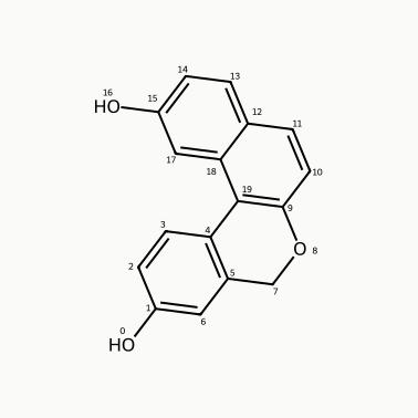 Oc1ccc2c(c1)COc1ccc3ccc(O)cc3c1-2